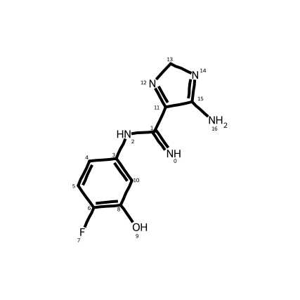 N=C(Nc1ccc(F)c(O)c1)C1=NCN=C1N